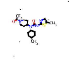 Cc1cnc(NC(=O)N(C2CCN(C(=O)C(F)(F)F)CC2)[C@H]2CC[C@H](C)CC2)s1